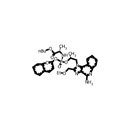 CCCCOC(=O)[C@H](C)N[P@@](=O)(Oc1ccc2ccccc2c1)O[C@H](C)Cn1c(COCC)nc2c(N)nc3ccccc3c21